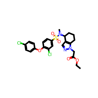 CCOC(=O)Cn1ncc2c1CCCC2N(C)S(=O)(=O)c1ccc(Oc2ccc(Cl)cc2)c(Cl)c1